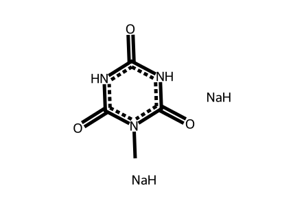 Cn1c(=O)[nH]c(=O)[nH]c1=O.[NaH].[NaH]